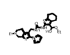 CCOC(O)c1c(NC(=O)NCc2c(-n3cccc3)sc3c2CCN(CC)C3)sc2c1CCCC2